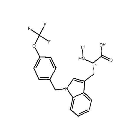 O=C(O)[C@H](Cc1cn(Cc2ccc(OC(F)(F)F)cc2)c2ccccc12)NCl